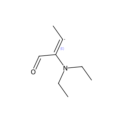 C/[C]=C(\C=O)N(CC)CC